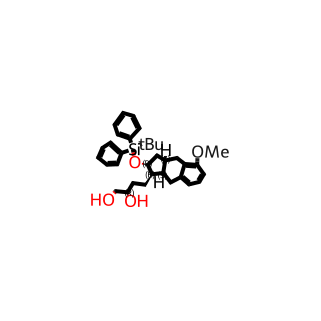 COc1cccc2c1C[C@H]1C[C@@H](O[Si](c3ccccc3)(c3ccccc3)C(C)(C)C)[C@H](CC[C@@H](O)CO)[C@H]1C2